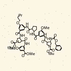 COC(=O)c1cc(NC(=O)C2CN(C(=O)OC(C)(C)C)CC2NC(=O)c2cc(NC(=O)C3CCCC3NC(=O)c3cc(NC(=O)C4CN(C(=O)OC(C)(C)C)CC4NC(=O)OCc4ccccc4)cc(OC)c3)cc(OCCC(C)C)c2)cc(OC)c1